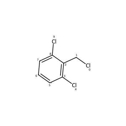 ClCc1c(Cl)[c]ccc1Cl